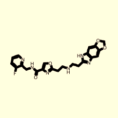 O=C(NCc1ncccc1F)c1coc(CCNCCc2nc3cc4c(cc3[nH]2)OCO4)n1